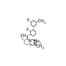 C=CN1/C(=C\NC)CCC(CC)C1Cc1cccc(-c2cc(C)cc(F)c2)c1F